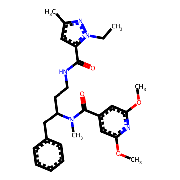 CCn1nc(C)cc1C(=O)NCCC(Cc1ccccc1)N(C)C(=O)c1cc(OC)nc(OC)c1